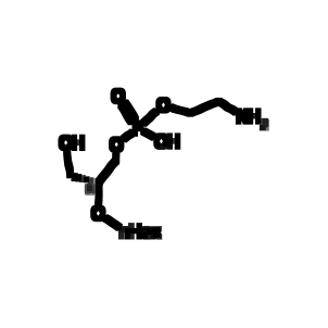 CCCCCCO[C@H](CO)COP(=O)(O)OCCN